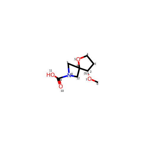 CO[C@H]1CCOC12CN(C(=O)O)C2